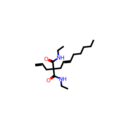 C=CCC(CC=CCCCCC)(C(=O)NCC)C(=O)NCC